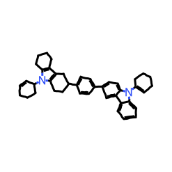 C1=CC(n2c3c(c4c2CCC(c2ccc(-c5ccc6c(c5)c5ccccc5n6C5=CCCCC5)cc2)C4)CCCC3)CCC1